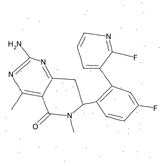 Cc1nc(N)nc2c1C(=O)N(C)C(c1ccc(F)cc1-c1cccnc1F)C2